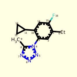 CCc1cc(-n2nnnc2C)c(C2CC2)cc1F